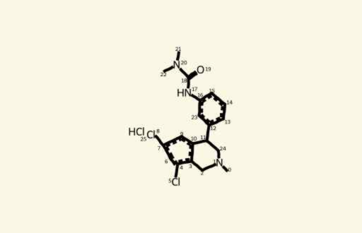 CN1Cc2c(Cl)cc(Cl)cc2C(c2cccc(NC(=O)N(C)C)c2)C1.Cl